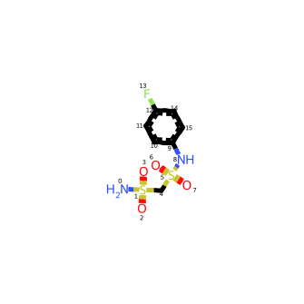 NS(=O)(=O)CS(=O)(=O)Nc1ccc(F)cc1